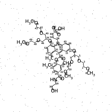 COCCOCC(COCCOC)OC1=CC(=C(\C(=O)Oc2c(C)cc(C(=O)NCCO)cc2C)c2cc(OC(COCCOC)COCCOC)ccc2C)/C(=N/CCCS(=O)(=O)O)C=C1